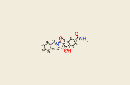 NC(=O)c1ccc2c(c1)CC1(CCN(Cc3ccccc3)C1=O)C2O